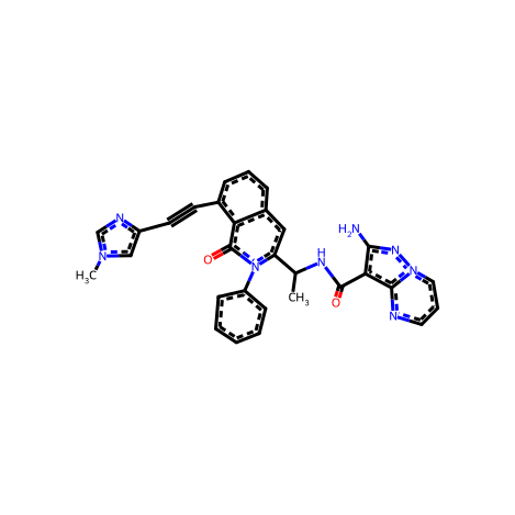 CC(NC(=O)c1c(N)nn2cccnc12)c1cc2cccc(C#Cc3cn(C)cn3)c2c(=O)n1-c1ccccc1